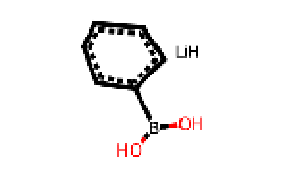 OB(O)c1ccccc1.[LiH]